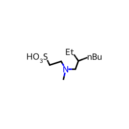 CCCCC(CC)CN(C)CCS(=O)(=O)O